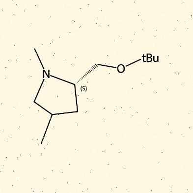 CC1C[C@@H](COC(C)(C)C)N(C)C1